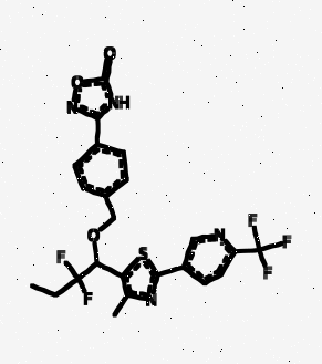 CCC(F)(F)C(OCc1ccc(-c2noc(=O)[nH]2)cc1)c1sc(-c2ccc(C(F)(F)F)nc2)nc1C